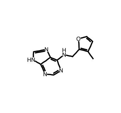 Cc1ccoc1CNc1ncnc2[nH]cnc12